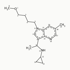 COCCCCn1cc(C(C)NC2CC2)c2ncc(C)cc21